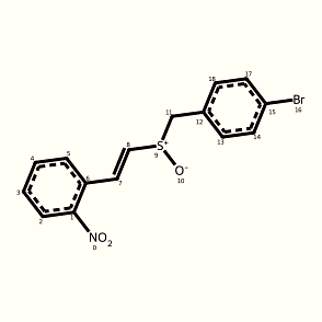 O=[N+]([O-])c1ccccc1C=C[S+]([O-])Cc1ccc(Br)cc1